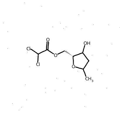 CC1CC(O)[C@@H](COC(=O)C(Cl)Cl)O1